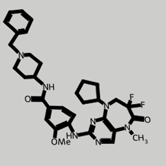 COc1cc(C(=O)NC2CCN(Cc3ccccc3)CC2)ccc1Nc1ncc2c(n1)N(C1CCCC1)CC(F)(F)C(=O)N2C